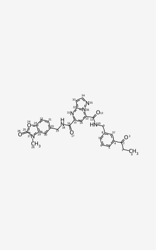 CCC(=O)c1cccc(CNC(=O)c2cc(C(=O)NCc3ccc4oc(=O)n(C)c4c3)nc3ccnn23)c1